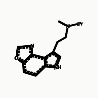 CC(C)N(C)CCc1c[nH]c2ccc3ocnc3c12